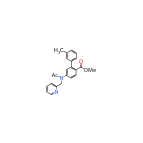 COC(=O)c1ccc(N(Cc2ccccn2)C(C)=O)cc1-c1cccc(C)c1